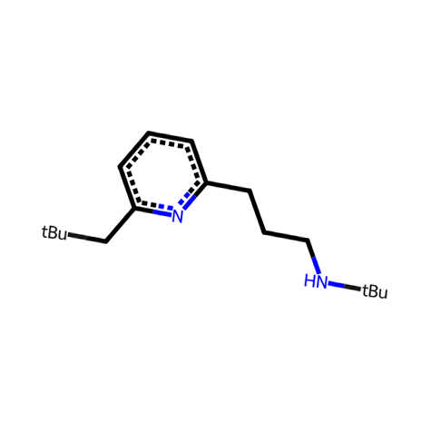 CC(C)(C)Cc1cccc(CCCNC(C)(C)C)n1